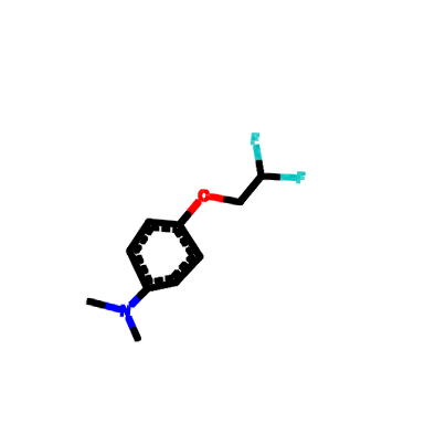 CN(C)c1ccc(OCC(F)F)cc1